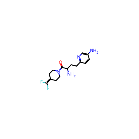 Nc1ccc(CCC(N)C(=O)N2CCC(=C(F)F)CC2)nc1